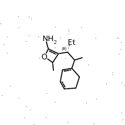 CC[C@@H](C1=C(N)OC1C)C(C)C1=CC=CCC1